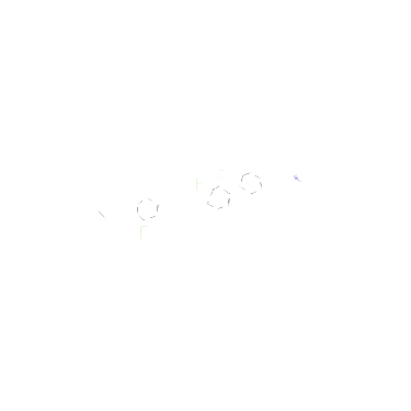 C=CCCc1ccc(CCCCc2ccc(-c3ccc(CC/C=C/C)cc3)c(F)c2F)cc1F